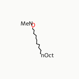 CCCCCCCCCCCCCCCCCCCONC